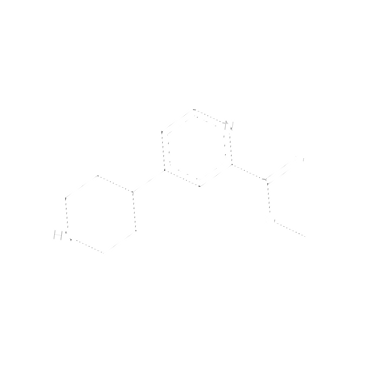 COC(=O)c1cc(C2CCNCC2)ccn1